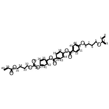 C=CC(=C)OCCCCOc1ccc(C(=O)Oc2ccc(C(=O)Oc3ccc(OC(=O)OCCCCOC(=O)C=C)cc3)cc2)cc1